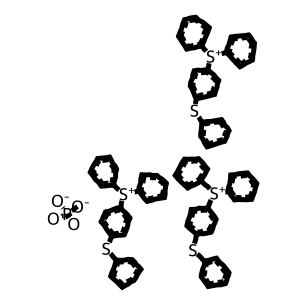 O=P([O-])([O-])[O-].c1ccc(Sc2ccc([S+](c3ccccc3)c3ccccc3)cc2)cc1.c1ccc(Sc2ccc([S+](c3ccccc3)c3ccccc3)cc2)cc1.c1ccc(Sc2ccc([S+](c3ccccc3)c3ccccc3)cc2)cc1